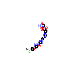 N#Cc1ccc(OC2CCC(NC(=O)c3cnc(N4CC[C@@H](CN5CCN(c6ccc7c(c6)C(=O)N(C6CCC(=O)NC6=O)C7=O)CC5)C4)nc3)CC2)cc1Cl